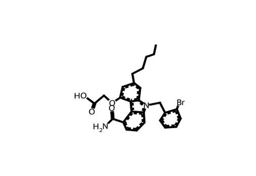 CCCCCc1cc(OCC(=O)O)c2c3c(C(N)=O)cccc3n(Cc3ccccc3Br)c2c1